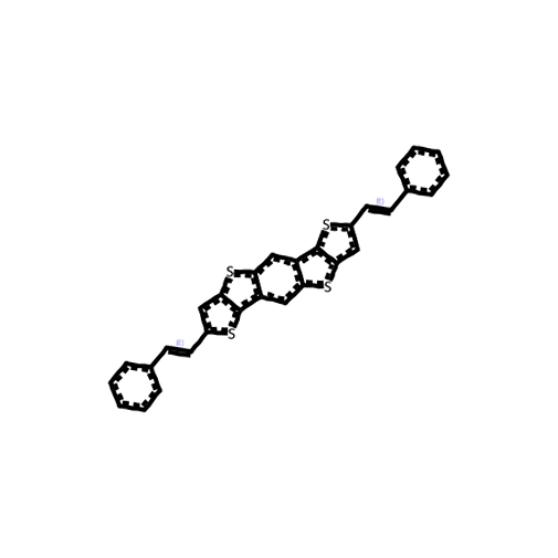 C(=C\c1cc2sc3cc4c(cc3c2s1)sc1cc(/C=C/c2ccccc2)sc14)/c1ccccc1